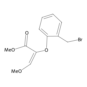 COC=C(Oc1ccccc1CBr)C(=O)OC